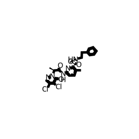 Cc1ccc(NC(=O)[C@H](C)n2ncc(Cl)c(Cl)c2=O)nc1S(=O)(=O)NCCc1ccccc1